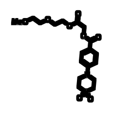 COCCOCCOC(=O)COC(=O)c1ccc(N2CCS(=O)(=O)CC2)cc1